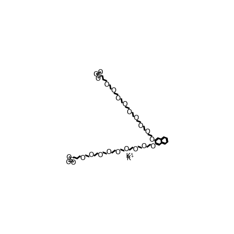 O=S(=O)([O-])CCCOCCOCCOCCOCCOCCOCCOCCOCCOc1cc2ccccc2cc1OCCOCCOCCOCCOCCOCCOCCOCCOCCCS(=O)(=O)[O-].[K+].[K+]